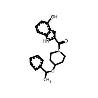 CC(OC1CCN(C(=O)c2cc3c(O)cccc3[nH]2)CC1)c1ccccc1